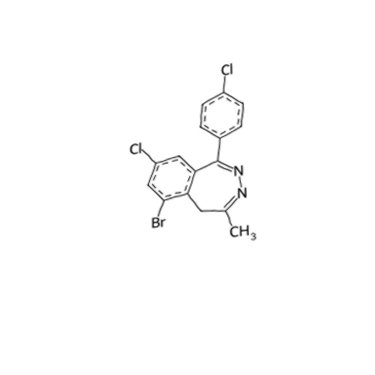 CC1=NN=C(c2ccc(Cl)cc2)c2cc(Cl)cc(Br)c2C1